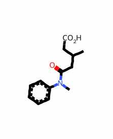 CC(CC(=O)O)CC(=O)N(C)c1ccccc1